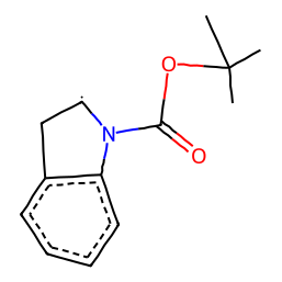 CC(C)(C)OC(=O)N1[CH]Cc2ccccc21